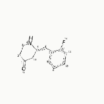 O=C1CCNC(=Cc2ccccc2F)C1